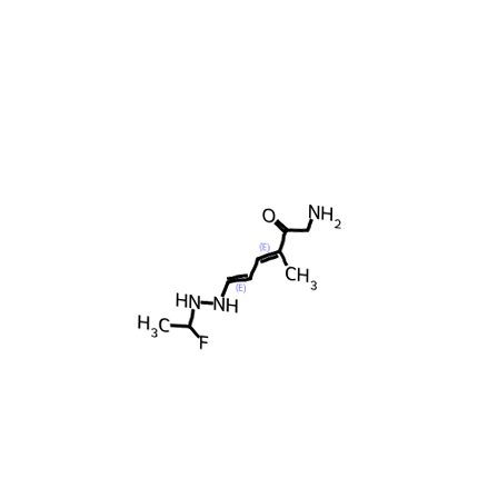 C/C(=C\C=C\NNC(C)F)C(=O)CN